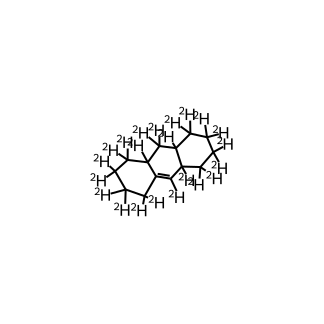 [2H]C1=C2C([2H])([2H])C([2H])([2H])C([2H])([2H])C([2H])([2H])C2([2H])C([2H])([2H])C2([2H])C([2H])([2H])C([2H])([2H])C([2H])([2H])C([2H])([2H])C12[2H]